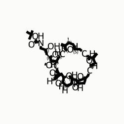 C=C1C[C@@H]2CCC34C[C@H]5OC6[C@@H](OC7CC[C@H](CC(=O)C[C@@H]8[C@@H](OC)[C@@H](C[C@H](O)CNC(=O)OC(C)(C)C)O[C@H]8C[C@H]8O[C@@H](CC[C@@H]1O2)C[C@@H](C)C8=C)O[C@@H]7[C@@H]6O3)[C@H]5O4